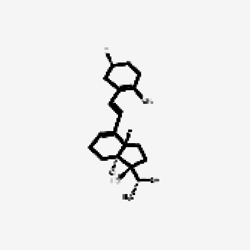 CC1=C(/C=C/C2=CCC[C@@]3(C)[C@H]2CC[C@]3(O)[C@@H](C)O)C[C@@H](O)CC1